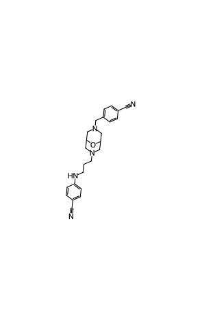 N#Cc1ccc(CN2CC3CN(CCCNc4ccc(C#N)cc4)CC(C2)O3)cc1